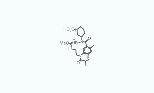 COC(=O)NCCN1C(=O)C(C)Sc2cc(C)c(C(=O)N(C(C)C)[C@@H]3CCCN(C(=O)O)C3)cc21